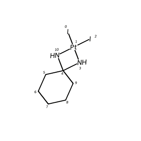 [I][Pt]1([I])[NH]C2(CCCCC2)[NH]1